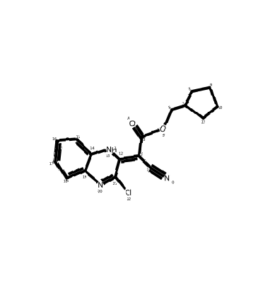 N#CC(C(=O)OCC1CCCC1)=C1Nc2ccccc2N=C1Cl